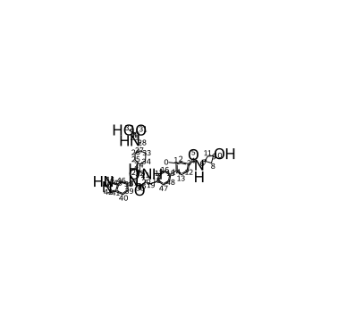 Cc1cc(C(=O)NC2CC(O)C2)ccc1-c1ccc(C[C@H](NC(=O)[C@H]2CC[C@H](CNC(=O)O)CC2)C(=O)Nc2ccc3cn[nH]c3c2)cc1